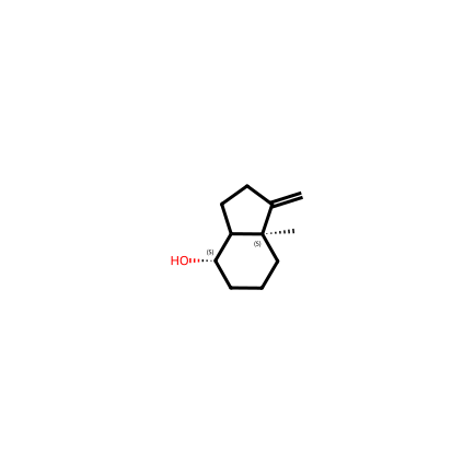 C=C1CCC2[C@@H](O)CCC[C@]12C